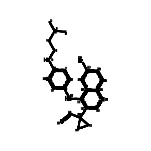 CN(C)CCNc1ccc(Nc2c(C3(C=O)CC3)cnc3ccc(Br)cc23)cn1